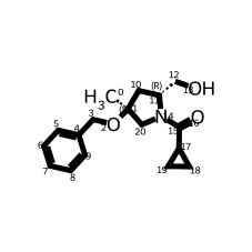 C[C@]1(OCc2ccccc2)C[C@H](CO)N(C(=O)C2CC2)C1